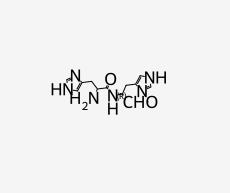 NC(Cc1c[nH]cn1)C(=O)N[C@@H]([C]=O)Cc1c[nH]cn1